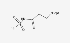 CCCCCCCCCC(=O)NS(=O)(=O)C(F)(F)F